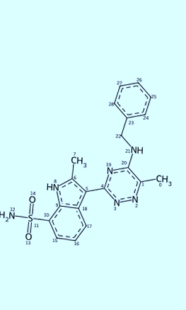 Cc1nnc(-c2c(C)[nH]c3c(S(N)(=O)=O)cccc23)nc1NCc1ccccc1